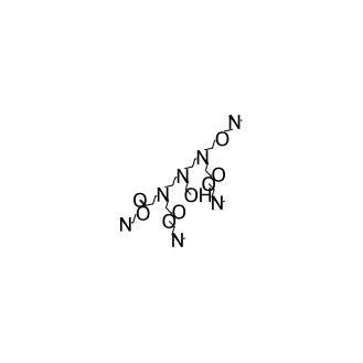 CN(C)CCOCCCN(CCCN(CCO)CCCN(CCC(=O)OCCN(C)C)CCC(=O)OCCN(C)C)CCC(=O)OCCN(C)C